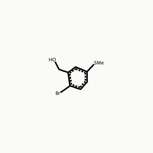 CSc1ccc(Br)c(CO)c1